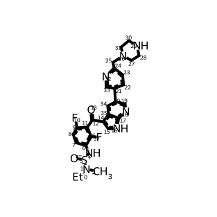 CCN(C)[S+]([O-])Nc1ccc(F)c(C(=O)c2c[nH]c3ncc(-c4ccc(CN5CCNCC5)nc4)cc23)c1F